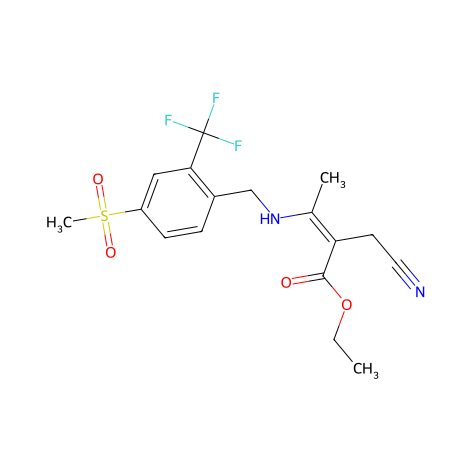 CCOC(=O)/C(CC#N)=C(/C)NCc1ccc(S(C)(=O)=O)cc1C(F)(F)F